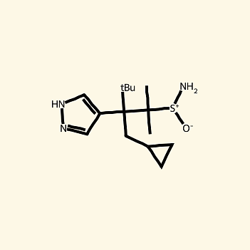 CC(C)(C)C(CC1CC1)(c1cn[nH]c1)C(C)(C)[S+](N)[O-]